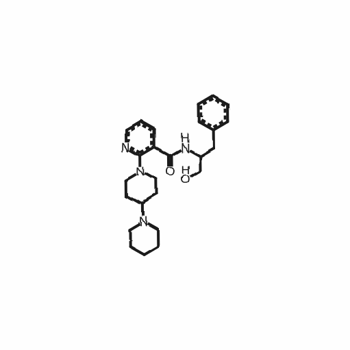 O=C(NC(CO)Cc1ccccc1)c1cccnc1N1CCC(N2CCCCC2)CC1